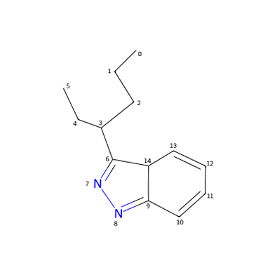 CCCC(CC)C1=NN=C2C=CC=CC21